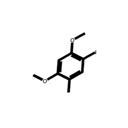 COc1cc(OC)c(I)cc1C